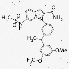 COc1cc(OC(F)(F)F)cc(C(C)c2cccc(-n3c(C(N)=O)cc4ccc(NS(C)(=O)=O)cc43)c2)c1